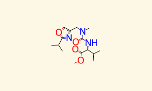 COC(=O)[C@@H](NC(=O)N(C)Cc1coc(C(C)C)n1)C(C)C